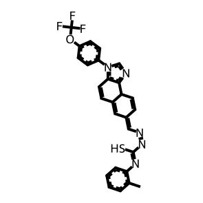 Cc1ccccc1/N=C(S)/N=N\C=C1/C=CC2C(=C1)C=Cc1c2ncn1-c1ccc(OC(F)(F)F)cc1